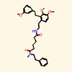 COc1cccc(CCc2c(CCNC(=O)CCCCC(=O)N(C)CCc3ccccc3)ccc(OC)c2OC)c1